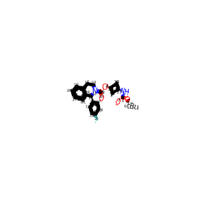 CC(C)(C)OC(=O)N[C@H]1C[C@H](OC(=O)N2CCc3ccccc3[C@@H]2c2ccc(F)cc2)C1